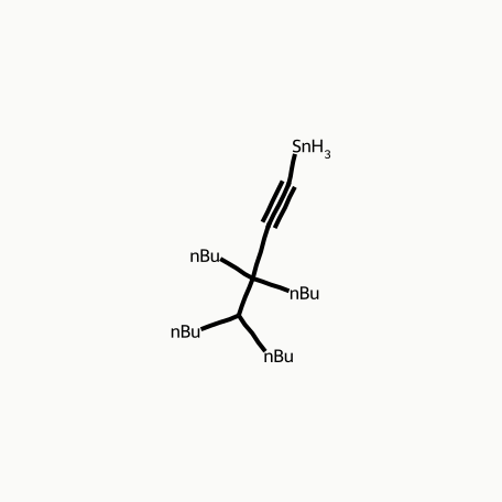 CCCCC(CCCC)C(C#[C][SnH3])(CCCC)CCCC